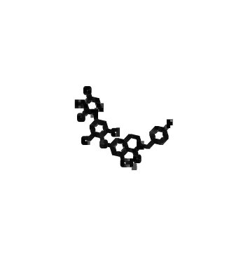 Cc1cc(Oc2c(Cl)cc(-n3ncc(=O)[nH]c3=O)cc2Cl)cc2c1C(=O)N(Cc1ccc(F)cc1)CC2